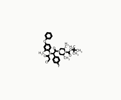 Cc1cc(Oc2ccccc2)ccc1N(C(=O)CCl)C(C(=O)N1C[C@@H](C)N(C(=O)OC(C)(C)C)[C@@H](C)C1)c1ccc(F)cc1